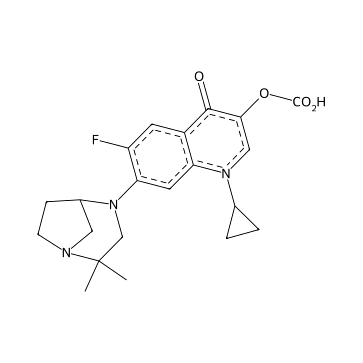 CC1(C)CN(c2cc3c(cc2F)c(=O)c(OC(=O)O)cn3C2CC2)C2CCN1C2